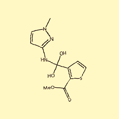 COC(=O)c1sccc1C(O)(O)Nc1ccn(C)n1